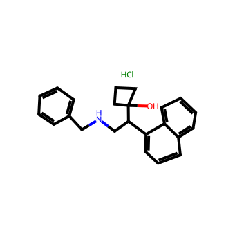 Cl.OC1(C(CNCc2ccccc2)c2cccc3ccccc23)CCC1